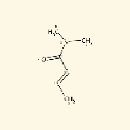 [CH2]/C=C/C(=O)N(C)C